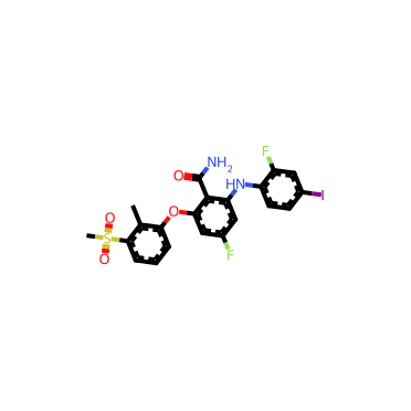 Cc1c(Oc2cc(F)cc(Nc3ccc(I)cc3F)c2C(N)=O)cccc1S(C)(=O)=O